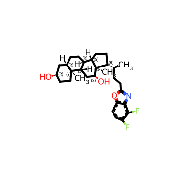 CC(CCc1nc2c(F)c(F)ccc2o1)[C@H]1CC[C@H]2[C@@H]3CC[C@@H]4C[C@H](O)CC[C@]4(C)[C@H]3C[C@H](O)[C@]12C